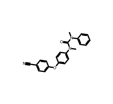 CN(C(=O)N(C)c1ccc(Oc2ccc(C#N)cc2)cc1)c1ccccc1